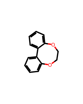 c1ccc2c(c1)OCCOc1ccccc1-2